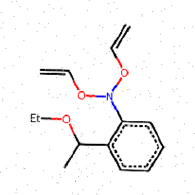 C=CON(OC=C)c1ccccc1C(C)OCC